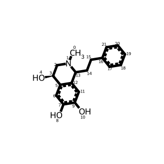 CN1C[C@H](O)c2cc(O)c(O)cc2C1CCc1ccccc1